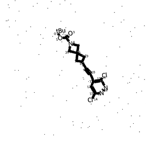 CC(C)(C)OC(=O)N1CC2(CC(C#Cc3cc(Cl)nnc3Cl)C2)C1